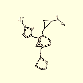 Cn1ccc(-c2cc(-c3ccccc3)ccc2C2CC2C(=O)O)n1